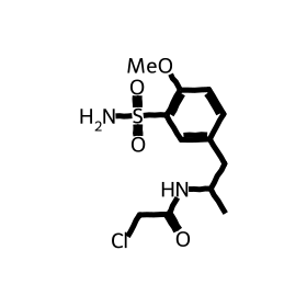 COc1ccc(CC(C)NC(=O)CCl)cc1S(N)(=O)=O